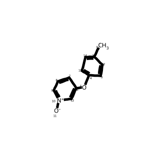 Cc1ccc(Oc2ccc[n+]([O-])c2)cc1